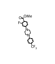 COC(=O)c1ccc(N2CCN(c3ccc(C(F)(F)F)cc3)CC2)cc1F